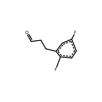 O=CCCc1cc(F)ccc1F